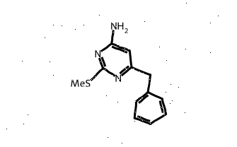 CSc1nc(N)cc(Cc2ccccc2)n1